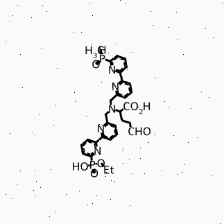 CCOP(=O)(O)c1cccc(-c2cccc(CN(Cc3cccc(-c4cccc([PH](C)=O)n4)n3)C(CCC=O)C(=O)O)n2)n1